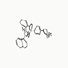 CCCOc1ccc([C@H]2Oc3ccccc3[C@@H]3CC(c4cccc5ccccc45)=NN23)cc1